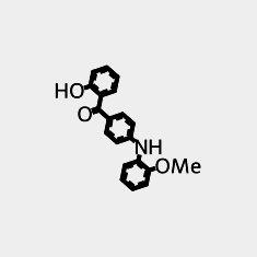 COc1ccccc1Nc1ccc(C(=O)c2ccccc2O)cc1